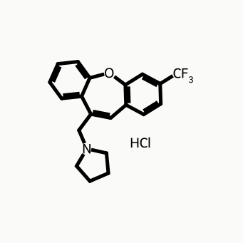 Cl.FC(F)(F)c1ccc2c(c1)Oc1ccccc1C(CN1CCCC1)=C2